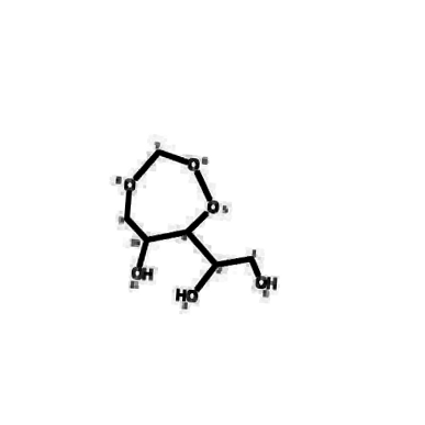 OCC(O)C1OOCOCC1O